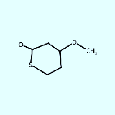 COC1CCSC([O])C1